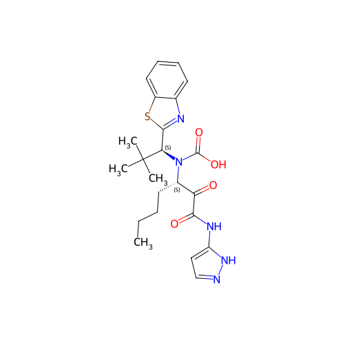 CCCC[C@@H](C(=O)C(=O)Nc1ccn[nH]1)N(C(=O)O)[C@H](c1nc2ccccc2s1)C(C)(C)C